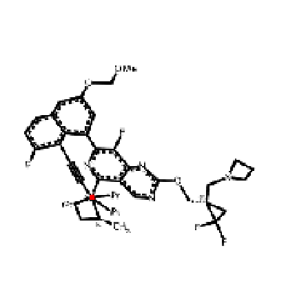 COCOc1cc(-c2nc(N3CC[C@@H]3C)c3cnc(OC[C@]4(CN5CCC5)CC4(F)F)nc3c2F)c2c(C#C[Si](C(C)C)(C(C)C)C(C)C)c(F)ccc2c1